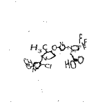 COc1cc(N2CCC(Oc3ccc(N4C[C@H](C(F)(F)F)C[C@@H]4CC(=O)O)cn3)C(C)C2)c(Cl)cn1